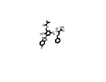 C=C(C)C(=O)OCc1cc(OC)cc(-n2nc3ccc(F)cc3n2)c1O.O=C(O)C(O)=CCc1ccccc1